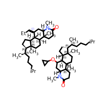 CC(C)CCC[C@@H](C)[C@H]1CC[C@H]2[C@@H]3C(OC4CC4)C[C@H]4N(C)C(=O)CC[C@]4(C)[C@H]3CC[C@]12C.CC/C=C1/C[C@H]2N(C)C(=O)CC[C@]2(C)[C@H]2CC[C@]3(C)[C@@H]([C@H](C)CCCC(C)C)CC[C@H]3[C@H]12